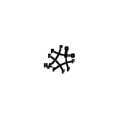 CC1(F)C(F)(F)C(F)(F)S(=O)(=O)C1(F)F